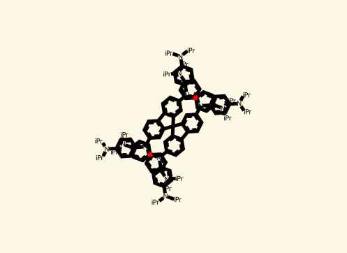 CC(C)N(c1ccc(N(c2ccc(N(C(C)C)C(C)C)cc2)c2ccc3c(c2)C2(c4cc(N(c5ccc(N(C(C)C)C(C)C)cc5)c5ccc(N(C(C)C)C(C)C)cc5)ccc4-3)c3cc(N(c4ccc(N(C(C)C)C(C)C)cc4)c4ccc(N(C(C)C)C(C)C)cc4)ccc3-c3ccc(N(c4ccc(N(C(C)C)C(C)C)cc4)c4ccc(N(C(C)C)C(C)C)cc4)cc32)cc1)C(C)C